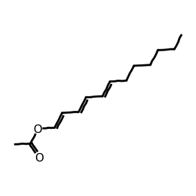 CCCCCCC=CC=CC=COC(C)=O